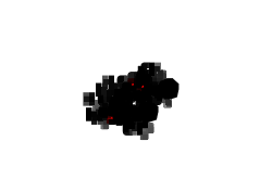 CC[C@@H](OO[C@H](C)[C@@H](O[C@@H]1C[C@@](C)(OC)[C@@H](OC(=O)c2ccccc2)[C@H](C)O1)[C@H](C)[C@@H](O[C@@H]1O[C@H](C)C[C@H](N(C)C)[C@H]1OC(=O)c1ccccc1)[C@@](C)(C[C@@H](C)OO)OC)[C@@](C)(O)C=O